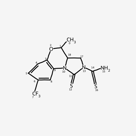 CC1Oc2ccc(C(F)(F)F)cc2N2C(=S)N(C(N)=S)CC12